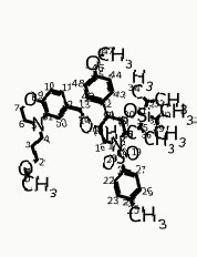 COCCCN1CCOc2ccc(CO[C@H]3CN(S(=O)(=O)c4ccc(C)cc4)C[C@@H](O[Si](C(C)C)(C(C)C)C(C)C)[C@@H]3c3ccc(OC)cc3)cc21